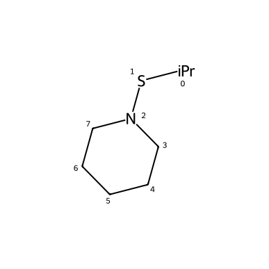 CC(C)SN1CCCCC1